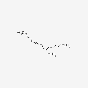 [CH2]CCCCC#CCCC(CC)CCCCC[CH2]